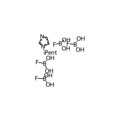 CCCC(C)n1ccnc1.OB(O)F.OB(O)F.OB(O)F.OB(O)F